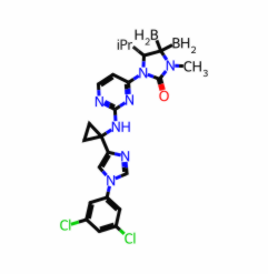 BC1(B)C(C(C)C)N(c2ccnc(NC3(c4cn(-c5cc(Cl)cc(Cl)c5)cn4)CC3)n2)C(=O)N1C